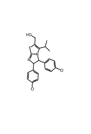 CC(C)C1=C(CO)SC2=NC(c3ccc(Cl)cc3)C(c3ccc(Cl)cc3)N21